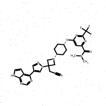 CN(C)C(=O)c1cc(O[C@H]2CC[C@@H](N3CC(CC#N)(n4cc(-c5ncnc6[nH]ccc56)cn4)C3)CC2)nc(C(F)(F)F)n1